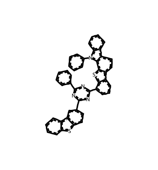 c1ccc(-c2nc(-c3ccc4sc5ccccc5c4c3)nc(-c3cccc4c3sc3c4ccc4c5ccccc5n(-c5ccccc5)c43)n2)cc1